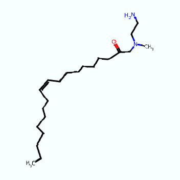 CCCCCCCC/C=C\CCCCCCCC(=O)CN(C)CCN